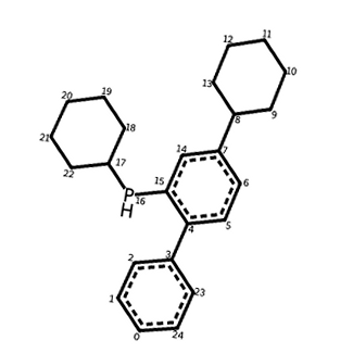 c1ccc(-c2ccc(C3CCCCC3)cc2PC2CCCCC2)cc1